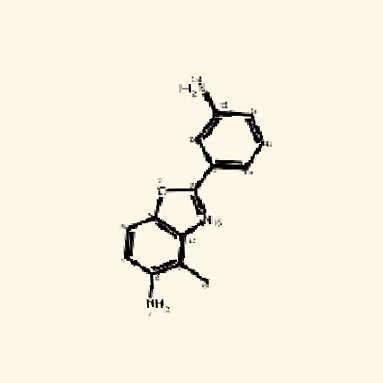 Cc1c(N)ccc2oc(-c3cccc(N)c3)nc12